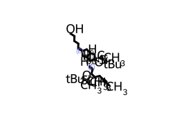 CC#CCC(C)C(/C=C/[C@@H]1[C@H]2C/C(=C/CCCCO)C[C@H]2C[C@H]1O[Si](C)(C)C(C)(C)C)O[Si](C)(C)C(C)(C)C